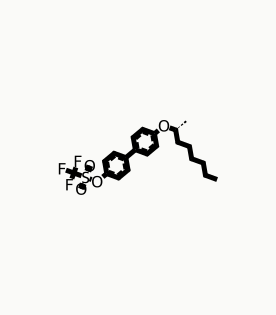 CCCCCC[C@@H](C)Oc1ccc(-c2ccc(OS(=O)(=O)C(F)(F)F)cc2)cc1